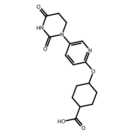 O=C1CCN(c2ccc(OC3CCC(C(=O)O)CC3)nc2)C(=O)N1